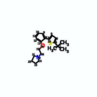 CC(C)(C)c1ccc(-c2ccccc2OCCN2CCCC2)s1